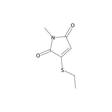 CCSC1=CC(=O)N(C)C1=O